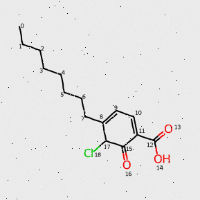 CCCCCCCCC1=CC=C(C(=O)O)C(=O)C1Cl